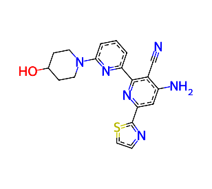 N#Cc1c(N)cc(-c2nccs2)nc1-c1cccc(N2CCC(O)CC2)n1